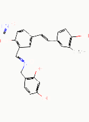 C=[NH+][O-].COc1cc(C=Cc2ccc(O)c(C=[N+]([O-])Cc3ccc(O)cc3O)c2)ccc1O